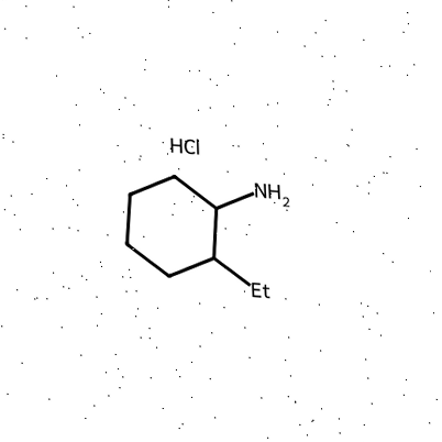 CCC1CCCCC1N.Cl